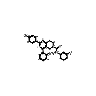 CCc1cccc(NC(=O)N2CCc3nc(-c4ccc(Cl)cc4)nc(-c4ccccc4C)c3C2)c1